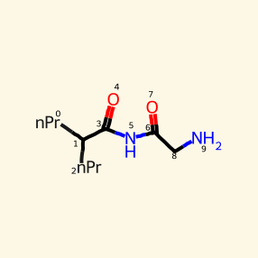 CCCC(CCC)C(=O)NC(=O)CN